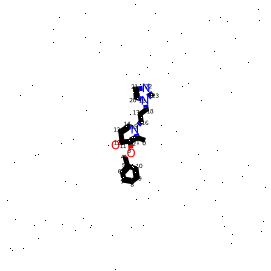 Cc1c(OCc2ccccc2)c(=O)ccn1CCCn1ccnc1